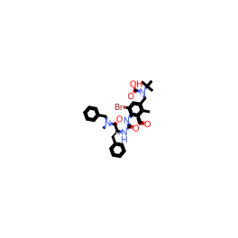 Cc1c(CN(C(=O)O)C(C)(C)C)cc(Br)c2nc(N[C@@H](Cc3ccccc3)C(=O)N(C)Cc3ccccc3)oc(=O)c12